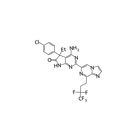 CCC1(c2ccc(Cl)cc2)C(=O)Nc2nc(-c3cn4ccnc4c(CCC(F)(F)C(F)(F)F)n3)nc(N)c21